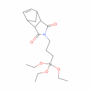 CCO[Si](CCCN1C(=O)C2C3C=CC(C3)C2C1=O)(OCC)OCC